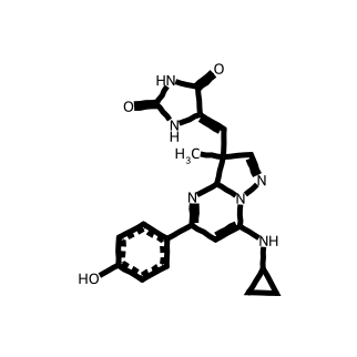 CC1(/C=C2\NC(=O)NC2=O)C=NN2C(NC3CC3)=CC(c3ccc(O)cc3)=NC21